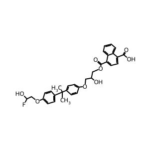 CC(C)(c1ccc(OCC(O)F)cc1)c1ccc(OCC(O)COC(=O)c2ccc(C(=O)O)c3ccccc23)cc1